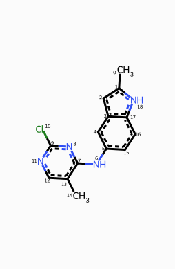 Cc1cc2cc(Nc3nc(Cl)ncc3C)ccc2[nH]1